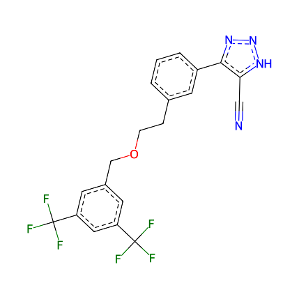 N#Cc1[nH]nnc1-c1cccc(CCOCc2cc(C(F)(F)F)cc(C(F)(F)F)c2)c1